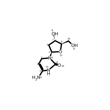 NC1=CCN([C@H]2C[C@H](O)[C@@H](CO)O2)C(=O)N1